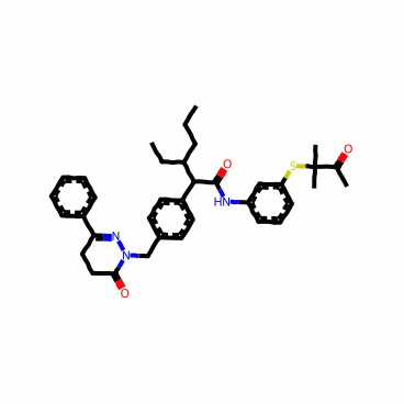 CCCC(CC)C(C(=O)Nc1cccc(SC(C)(C)C(C)=O)c1)c1ccc(CN2N=C(c3ccccc3)CCC2=O)cc1